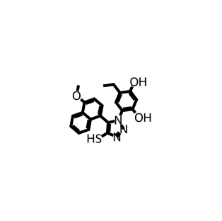 CCc1cc(-n2nnc(S)c2-c2ccc(OC)c3ccccc23)c(O)cc1O